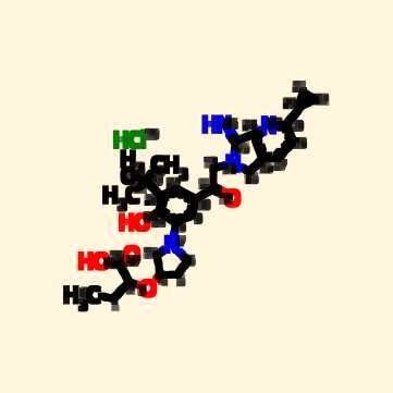 CCC(OC1CCN(c2cc(C(=O)CN3Cc4ccc(C5CC5)nc4C3=N)cc(C(C)(C)C)c2O)C1)C(=O)O.Cl